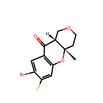 C[C@]12CCOC[C@H]1C(=O)c1cc(Br)c(F)cc1O2